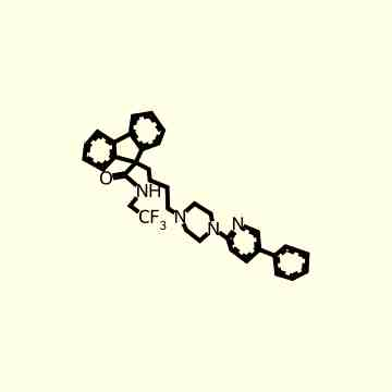 O=C(NCC(F)(F)F)C1(CCCCN2CCN(c3ccc(-c4ccccc4)cn3)CC2)c2ccccc2-c2ccccc21